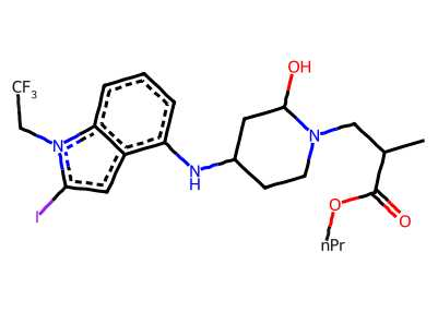 CCCOC(=O)C(C)CN1CCC(Nc2cccc3c2cc(I)n3CC(F)(F)F)CC1O